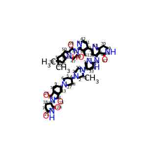 C[C@H]1CN(C2CCN(c3ccc4c(c3)C(=O)N(C3CCC(=O)NC3=O)C4=O)CC2)CCN1c1ccc(Nc2cc(-c3ccnc(N4CCn5c(cc6c5CC(C)(C)C6)C4=O)c3CO)nc3c2C(=O)NCC3)nc1